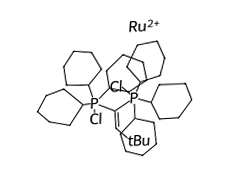 CC(C)(C)C=C(P(Cl)(C1CCCCC1)(C1CCCCC1)C1CCCCC1)P(Cl)(C1CCCCC1)(C1CCCCC1)C1CCCCC1.[Ru+2]